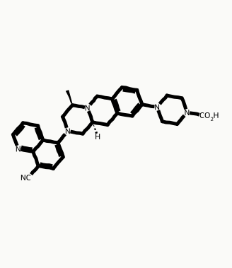 C[C@@H]1CN(c2ccc(C#N)c3ncccc23)C[C@@H]2Cc3cc(N4CCN(C(=O)O)CC4)ccc3CN21